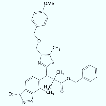 CCn1nnc2c(C)c(C(c3nc(COCc4ccc(OC)cc4)c(C)s3)C(C)(C)C(=O)OCc3ccccc3)ccc21